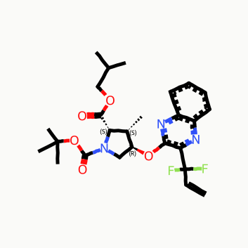 C=CC(F)(F)c1nc2ccccc2nc1O[C@H]1CN(C(=O)OC(C)(C)C)[C@H](C(=O)OCC(C)C)[C@@H]1C